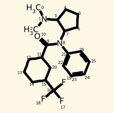 CN(C)C1CCCC1N(C(=O)C1CCCC(C(F)(F)F)C1)c1ccccc1